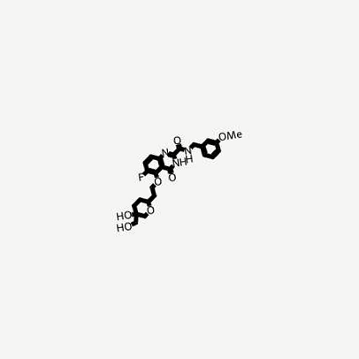 COc1cccc(CNC(=O)c2nc3ccc(F)c(OCCC4CCC(O)(CO)CO4)c3c(=O)[nH]2)c1